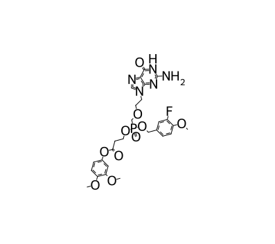 COc1ccc(COP(=O)(COCCn2cnc3c(=O)[nH]c(N)nc32)OCCC(=O)Oc2ccc(OC)c(OC)c2)cc1F